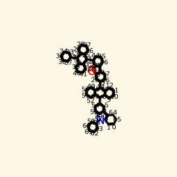 C1=Cc2c(c3cc(-c4c5ccccc5c(-c5ccc6c(c5)oc5c(-c7c8ccccc8c(-c8ccccc8)c8ccccc78)cccc56)c5ccccc45)ccc3n2-c2ccccc2)CC1